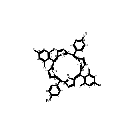 Cc1cc(C)c(C2=C3C=CC(=N3)C(c3ccc(Br)cc3)=C3C=CC(=N3)C(c3c(C)cc(C)cc3C)=C3C=CC(=N3)C(c3ccc(Br)cc3)=C3C=CC2=N3)c(C)c1